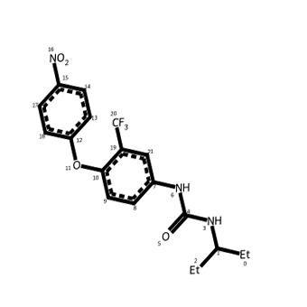 CCC(CC)NC(=O)Nc1ccc(Oc2ccc([N+](=O)[O-])cc2)c(C(F)(F)F)c1